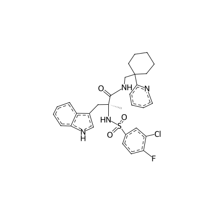 C[C@@](Cc1c[nH]c2ccccc12)(NS(=O)(=O)c1ccc(F)c(Cl)c1)C(=O)NCC1(c2ccccn2)CCCCC1